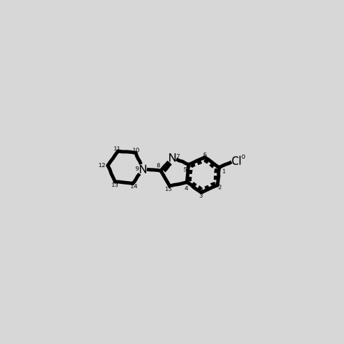 Clc1ccc2c(c1)N=C(N1CCCCC1)C2